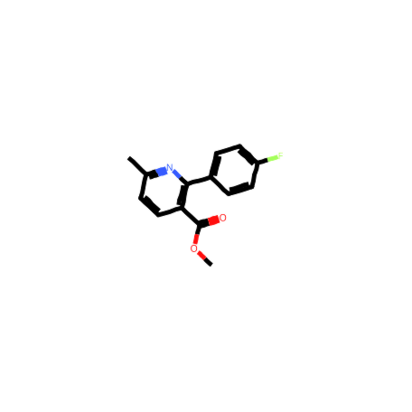 COC(=O)c1ccc(C)nc1-c1ccc(F)cc1